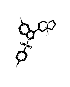 O=S(=O)(c1ccc(F)cc1)n1cc(C2=CCN3CCC[C@@H]3C2)c2cc(F)ccc21